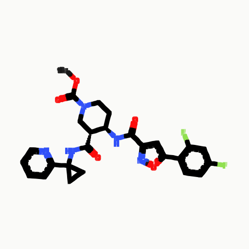 CC(C)(C)OC(=O)N1CC[C@@H](NC(=O)c2cc(-c3ccc(F)cc3F)on2)[C@H](C(=O)NC2(c3ccccn3)CC2)C1